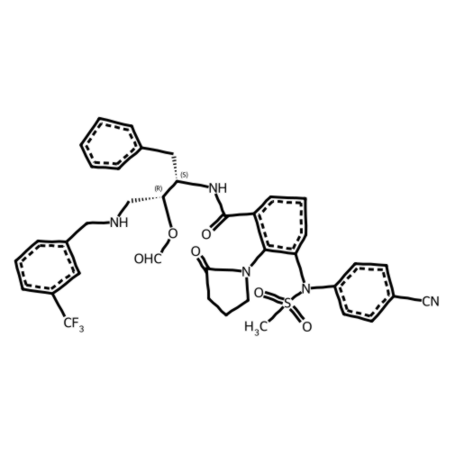 CS(=O)(=O)N(c1ccc(C#N)cc1)c1cccc(C(=O)N[C@@H](Cc2ccccc2)[C@@H](CNCc2cccc(C(F)(F)F)c2)OC=O)c1N1CCCC1=O